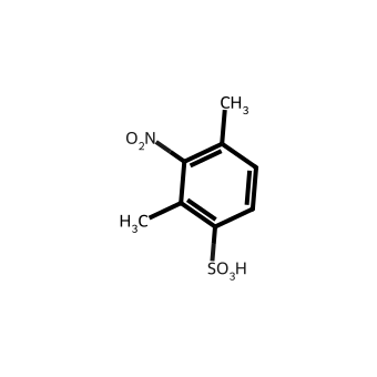 Cc1ccc(S(=O)(=O)O)c(C)c1[N+](=O)[O-]